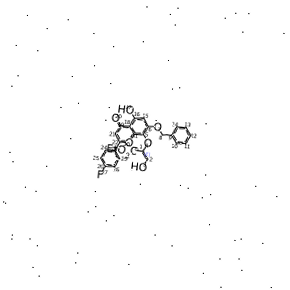 CCOC(=O)/C(=C\O)Oc1c(OCc2ccccc2)cc(O)c2c(=O)cc(-c3ccc(F)cc3)oc12